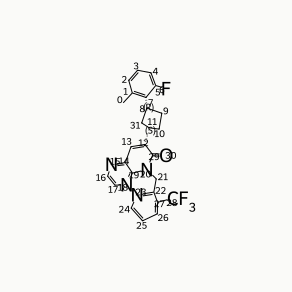 Cc1cccc(F)c1[C@@H]1CC[C@H](c2cc3nccnc3n(Cc3ncccc3C(F)(F)F)c2=O)C1